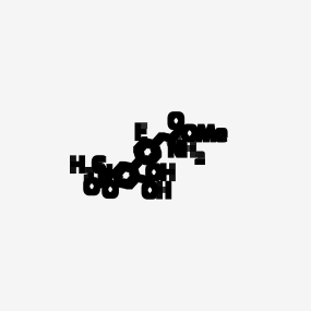 COC(=O)[C@@H](N)Cc1cc(O)c(-c2cc3c(cc2CO)oc(=O)n3C)cc1F